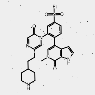 CCS(=O)(=O)c1ccc(-c2cn(C)c(=O)c3[nH]ccc23)c(-n2cc(CCC3CCNCC3)ncc2=O)c1